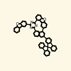 c1ccc(-c2nc(-c3ccc4oc5ccccc5c4c3)nc(-c3cccc4oc5ccc(-c6cccc(-c7ccc8c(c7)C7(c9ccccc9-c9ccccc97)c7ccccc7-8)c6)cc5c34)n2)cc1